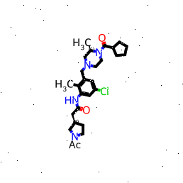 CC(=O)N1CC[C@H](CC(=O)Nc2cc(Cl)cc(CN3CCN(C(=O)C4CCCC4)[C@@H](C)C3)c2C)C1